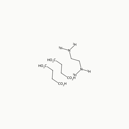 O=C(O)CCC(=O)O.O=C(O)CCC(=O)O.[2H]N([2H])CCN([2H])[2H]